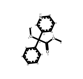 COC(=O)C(OC)(c1ccccc1)c1cccnc1